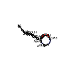 CCOCCOCCOCCNC(=O)c1cnc(N2CCN(c3ncc4c(n3)CCN(C(=O)O[C@@H]3CC[C@@H](C[C@@H](C)[C@@H]5C[C@@H](OC)[C@H](C)/C=C(\C)[C@@H](O)[C@@H](OC)C(=O)[C@H](C)C[C@H](C)/C=C/C=C/C=C(\C)[C@@H](OC)C[C@@H]6CC[C@@H](C)[C@@](O)(O6)C(=O)C(=O)N6CCCC[C@H]6C(=O)O5)C[C@H]3OC)C4)C[C@@H]2C(=O)O)nc1